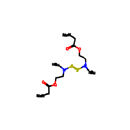 CCCCN(CCOC(=O)CNC)SSN(CCCC)CCOC(=O)CNC